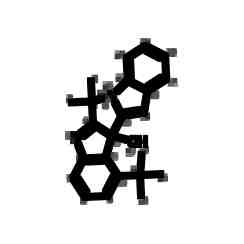 CC(C)(C)C1=Nc2cccc(C(C)(C)C)c2C1(O)c1cc2ccccc2[nH]1